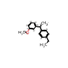 [CH2]C(c1ccc(CC)cc1)c1cccc(OC)c1